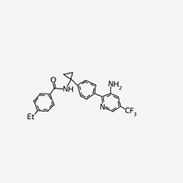 CCc1ccc(C(=O)NC2(c3ccc(-c4ncc(C(F)(F)F)cc4N)cc3)CC2)cc1